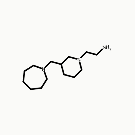 NCCN1CCCC(CN2CCCCCC2)C1